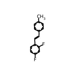 Cc1ccc(C=Cc2ccc(F)cc2F)cc1